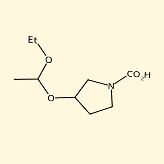 CCOC(C)OC1CCN(C(=O)O)C1